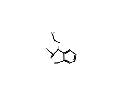 O=C(O)[C@H](CCO)c1ccccc1O